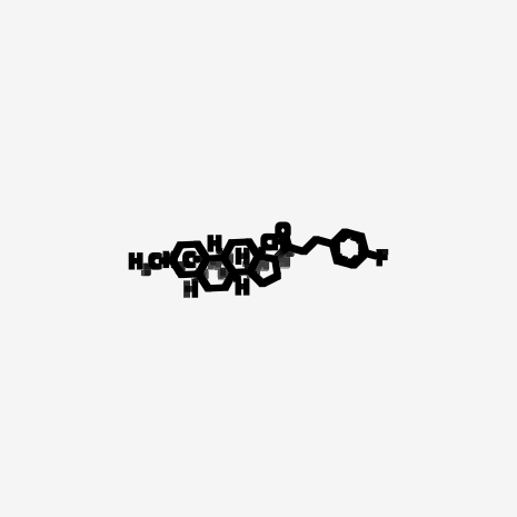 C[C@H]1CC[C@@]2(C)[C@@H](CC[C@@H]3[C@@H]2CC[C@]2(C)[C@@H](C(=O)CCc4ccc(F)cc4)CC[C@@H]32)C1